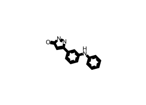 O=C1C=C(c2cccc(Nc3ccccc3)c2)N=N1